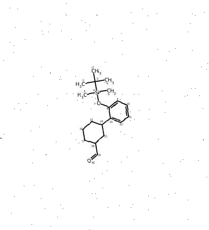 CC(C)(C)[Si](C)(C)Oc1ccccc1C1CCCC(C=O)C1